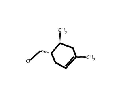 CC1=CC[C@H](CCl)[C@@H](C)C1